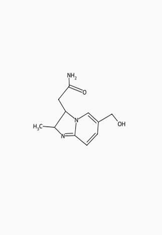 CC1N=C2C=CC(CO)=CN2C1CC(N)=O